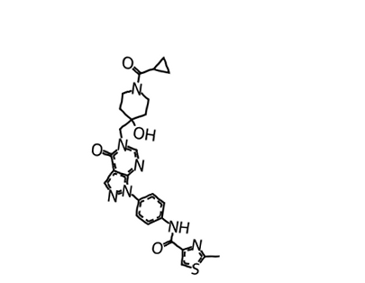 Cc1nc(C(=O)Nc2ccc(-n3ncc4c(=O)n(CC5(O)CCN(C(=O)C6CC6)CC5)cnc43)cc2)cs1